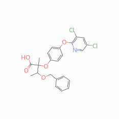 CC(OCc1ccccc1)C(C)(Oc1ccc(Oc2ncc(Cl)cc2Cl)cc1)C(=O)O